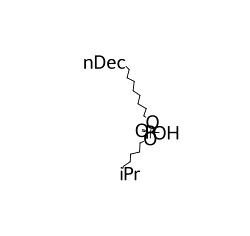 CCCCCCCCCCCCCCCCCCOP(=O)(O)OCCCCCC(C)C